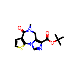 CN1Cc2c(C(=O)OC(C)(C)C)ncn2-c2sccc2C1=O